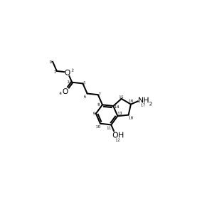 CCOC(=O)CCCc1ccc(O)c2c1CC(N)C2